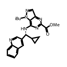 CCC(C)n1ncc2nc(C(=O)OC)nc(N[C@@H](c3cnc4ccccc4c3)C3CC3)c21